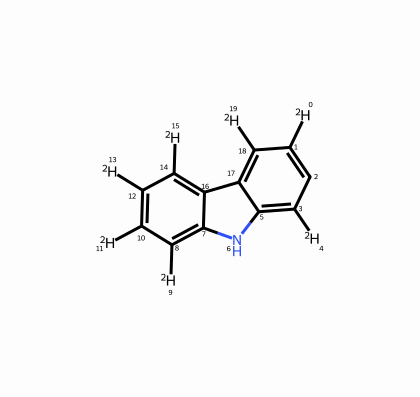 [2H]c1cc([2H])c2[nH]c3c([2H])c([2H])c([2H])c([2H])c3c2c1[2H]